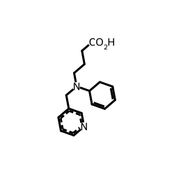 O=C(O)CCCN(Cc1cccnc1)C1C=CC=CC1